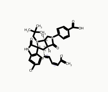 C=C(Cl)/C=C\C=C(/F)[C@H]1[C@@H]2C(=O)N(c3ccc(C(=O)O)cc3)C[C@@H]2N(CC(C)(C)C)[C@@]12C(=O)Nc1cc(Cl)ccc12